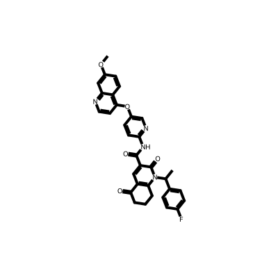 COc1ccc2c(Oc3ccc(NC(=O)c4cc5c(n(C(C)c6ccc(F)cc6)c4=O)CCCC5=O)nc3)ccnc2c1